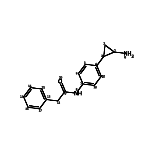 NC1CC1c1ccc(NC(=O)Cc2ccccc2)cc1